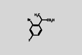 CC(C(=O)O)c1ccc(F)cc1Br